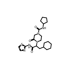 O=C(Nc1nccs1)C(CC1CCCCC1)N1CCN(C(=O)NC2CCCC2)CC1=O